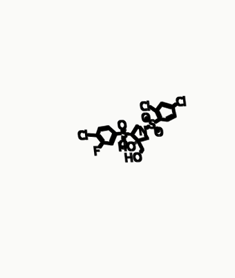 O=S(=O)(c1ccc(Cl)c(F)c1)[C@H]1CN(S(=O)(=O)c2ccc(Cl)cc2Cl)C[C@@]1(O)CO